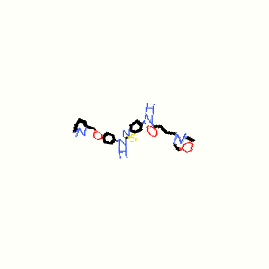 O=C(C=CCN1CCOCC1)Nc1ccc2nc(Nc3ccc(OCc4ccccn4)cc3)sc2c1